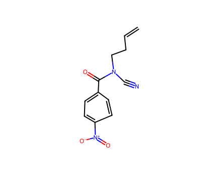 C=CCCN(C#N)C(=O)c1ccc([N+](=O)[O-])cc1